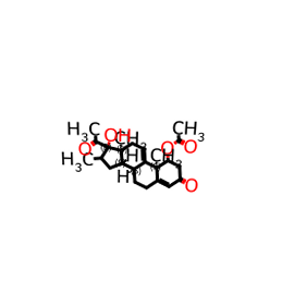 CC(=O)OC1CC(=O)C=C2CC[C@@H]3C(=CC[C@@]4(C)[C@H]3CC(C)[C@]4(O)C(C)=O)[C@]21C